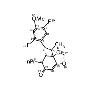 CCCC1CC2(C(C)Cc3cc(F)c(OC)cc3F)OCOC2=CC1=O